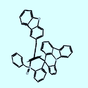 O=P1(c2ccccc2)c2ccccc2C2(c3ccccc3-n3c4ccccc4c4cccc2c43)c2cc(-c3ccc4oc5ccccc5c4c3)ccc21